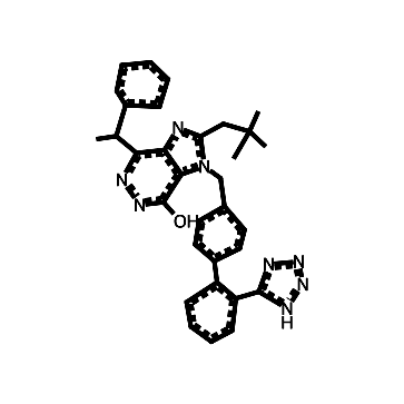 CC(c1ccccc1)c1nnc(O)c2c1nc(CC(C)(C)C)n2Cc1ccc(-c2ccccc2-c2nnn[nH]2)cc1